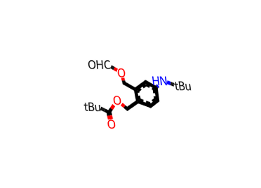 CC(C)(C)Nc1ccc(COC(=O)C(C)(C)C)c(COC=O)c1